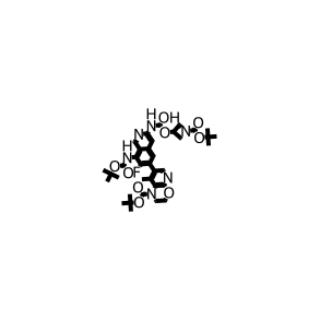 Cc1c(-c2cc3cc(NC(O)OC4CN(C(=O)OC(C)(C)C)C4)ncc3c(NC(=O)OC(C)(C)C)c2F)cnc2c1N(C(=O)OC(C)(C)C)CCO2